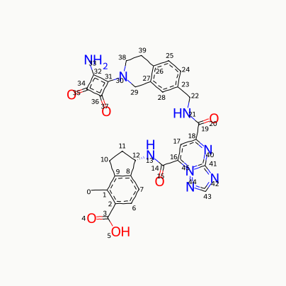 Cc1c(C(=O)O)ccc2c1CC[C@@H]2NC(=O)c1cc(C(=O)NCc2ccc3c(c2)CN(c2c(N)c(=O)c2=O)CC3)nc2ncnn12